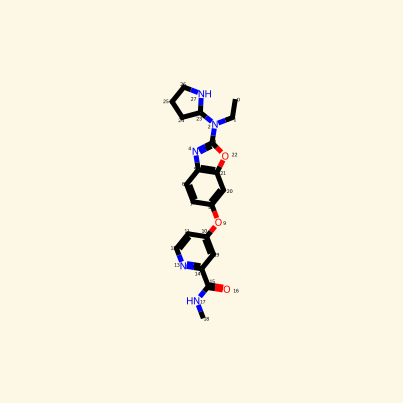 CCN(c1nc2ccc(Oc3ccnc(C(=O)NC)c3)cc2o1)C1CCCN1